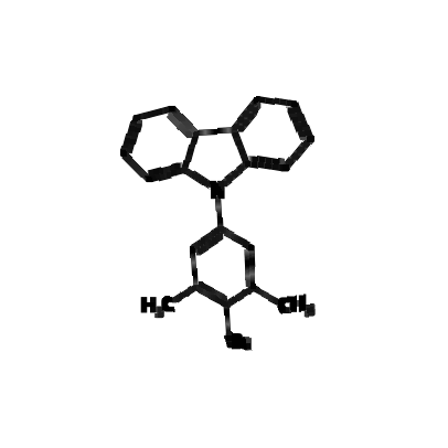 Cc1cc(-n2c3ccccc3c3ccccc32)cc(C)c1C(C)(C)C